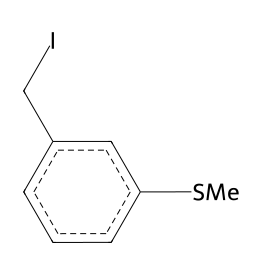 CSc1cccc(CI)c1